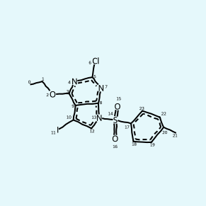 CCOc1nc(Cl)nc2c1c(I)cn2S(=O)(=O)c1ccc(C)cc1